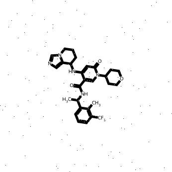 Cc1c(C(C)NC(=O)c2cn(C3CCOCC3)c(=O)cc2NC2CCCn3cncc32)cccc1C(F)(F)F